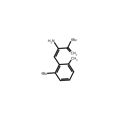 C=C(/C(N)=C\c1c(C)cccc1C(C)(C)C)C(C)(C)C